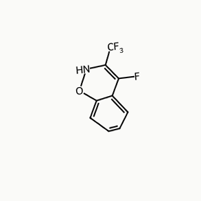 FC1=C(C(F)(F)F)NOc2ccccc21